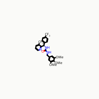 COc1cc(CNC(=O)N[C@@H](c2ccc(C(F)(F)F)cc2)c2ncccc2C(F)(F)F)cc(OC)c1OC